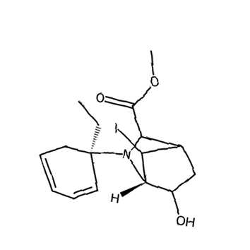 CC[C@]1(N2C(C(=O)OC)C3CC(O)[C@H]2C3I)C=CC=CC1